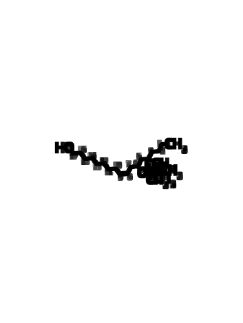 CCCCCCC(C/C=C\CCCCCCCCO)O[Si](C)(C)C(C)(C)C